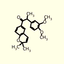 COc1ccc(C(C)C(=O)c2ccc3c(c2)C=CC(C)(C)O3)cc1OC